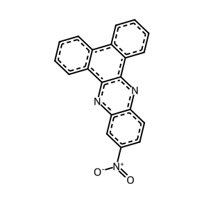 O=[N+]([O-])c1ccc2nc3c4ccccc4c4ccccc4c3nc2c1